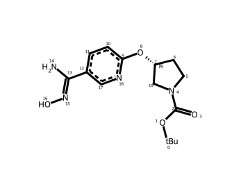 CC(C)(C)OC(=O)N1CC[C@@H](Oc2ccc(C(N)=NO)cn2)C1